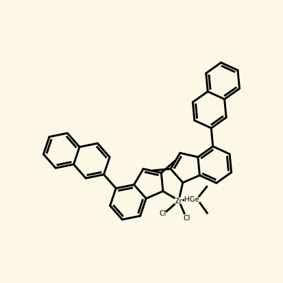 CC1=Cc2c(-c3ccc4ccccc4c3)cccc2[CH]1[Zr]([Cl])([Cl])([CH]1C(C)=Cc2c(-c3ccc4ccccc4c3)cccc21)[GeH]([CH3])[CH3]